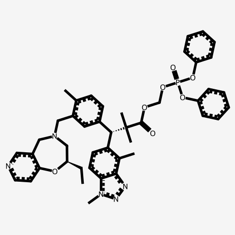 CC[C@@H]1CN(Cc2cc([C@@H](c3ccc4c(nnn4C)c3C)C(C)(C)C(=O)OCOP(=O)(Oc3ccccc3)Oc3ccccc3)ccc2C)Cc2cnccc2O1